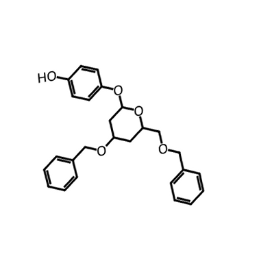 Oc1ccc(OC2CC(OCc3ccccc3)CC(COCc3ccccc3)O2)cc1